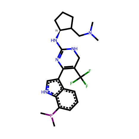 CN(C)CC1CCC[C@@H]1NC1=NC(c2c[nH]c3c(P(C)C)cccc23)=C(C(F)(F)F)CN1